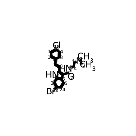 CN(C)CCNC(=O)c1c(/C=C/c2ccc(Cl)cc2)[nH]c2cc(Br)ccc12